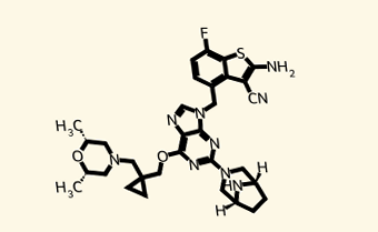 C[C@@H]1CN(CC2(COc3nc(N4C[C@H]5CC[C@@H](C4)N5)nc4c3ncn4Cc3ccc(F)c4sc(N)c(C#N)c34)CC2)C[C@H](C)O1